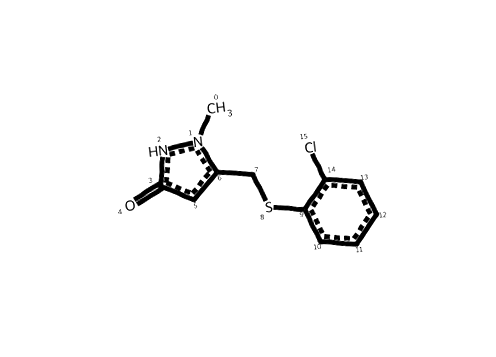 Cn1[nH]c(=O)cc1CSc1ccccc1Cl